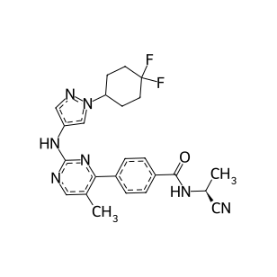 Cc1cnc(Nc2cnn(C3CCC(F)(F)CC3)c2)nc1-c1ccc(C(=O)N[C@@H](C)C#N)cc1